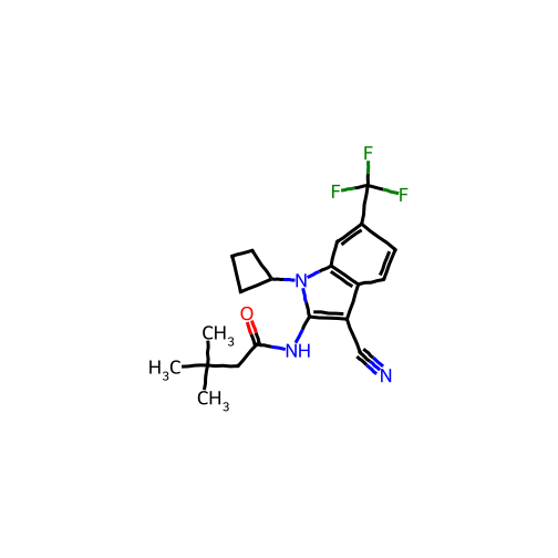 CC(C)(C)CC(=O)Nc1c(C#N)c2ccc(C(F)(F)F)cc2n1C1CCC1